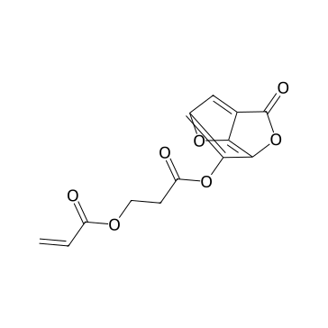 C=CC(=O)OCCC(=O)Oc1c2c3oc1cc3C(=O)O2